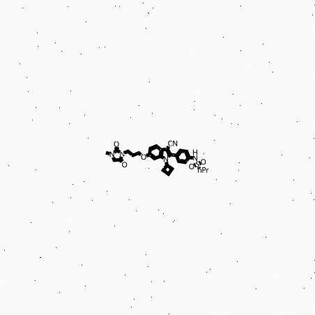 CCCS(=O)(=O)Nc1ccc(-c2c(C#N)c3ccc(OCCCN4C(=O)CN(C)C4=O)cc3n2C2CCC2)cc1